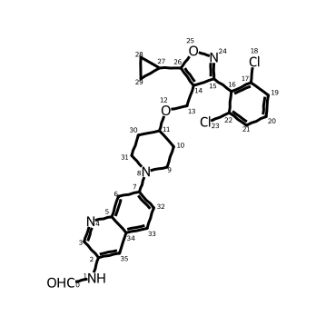 O=CNc1cnc2cc(N3CCC(OCc4c(-c5c(Cl)cccc5Cl)noc4C4CC4)CC3)ccc2c1